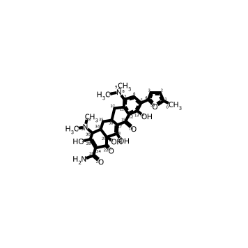 Cc1ccc(-c2cc(N(C)C)c3c(c2O)C(=O)C2=C(O)C4(O)C(=O)C(C(N)=O)=C(O)C(N(C)C)C4CC2C3)o1